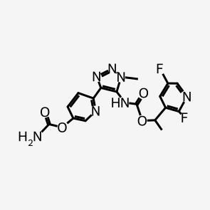 CC(OC(=O)Nc1c(-c2ccc(OC(N)=O)cn2)nnn1C)c1cc(F)cnc1F